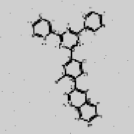 Cc1cc(-c2nc(-c3ccccn3)nc(-c3ccccn3)n2)ccc1-c1cnc2ccccc2c1